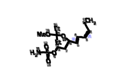 C=C/C=C\C=C\C(CCOS(N)(=O)=O)OC(CC)(CC)OC